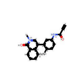 C#CC(=O)Nc1ccc(NC)c(-c2cn(C)c(=O)c3ccccc23)c1